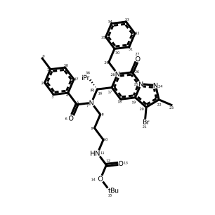 Cc1ccc(C(=O)N(CCCNC(=O)OC(C)(C)C)[C@@H](c2cc3c(Br)c(C)nn3c(=O)n2Cc2ccccc2)C(C)C)cc1